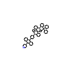 c1ccc(C2(c3ccccc3)c3ccccc3B3c4ccccc4C4(c5ccccc5B(c5ccc(-c6c7ccccc7c(-c7ccncc7)c7ccccc67)cc5)c5ccccc54)c4cccc2c43)cc1